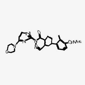 COc1cccc(C2CCc3c(cnn(-c4nccc(N5CCOCC5)n4)c3=O)C2)c1C